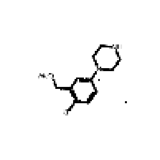 COCc1cc(N2CCNCC2)ccc1Cl